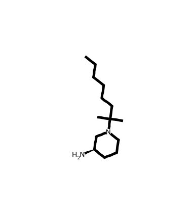 CCCCCCC(C)(C)N1CCC[C@@H](N)C1